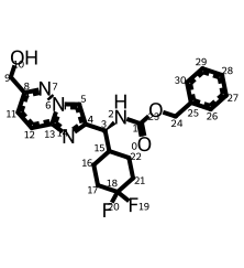 O=C(N[C@H](c1cn2nc(CO)ccc2n1)C1CCC(F)(F)CC1)OCc1ccccc1